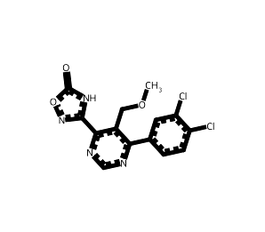 COCc1c(-c2ccc(Cl)c(Cl)c2)ncnc1-c1noc(=O)[nH]1